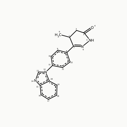 CC1CC(=O)NN=C1c1ccc(-n2cnc3ccccc32)cc1